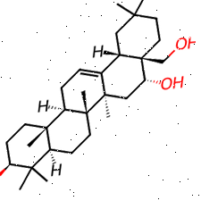 CC1(C)CC[C@]2(CO)[C@H](O)C[C@]3(C)C(=CC[C@@H]4[C@@]5(C)CC[C@H](O)C(C)(C)[C@@H]5CC[C@]43C)[C@@H]2C1